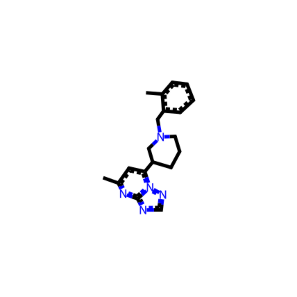 Cc1cc(C2CCCN(Cc3ccccc3C)C2)n2ncnc2n1